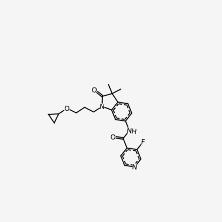 CC1(C)C(=O)N(CCCOC2CC2)c2cc(NC(=O)c3ccncc3F)ccc21